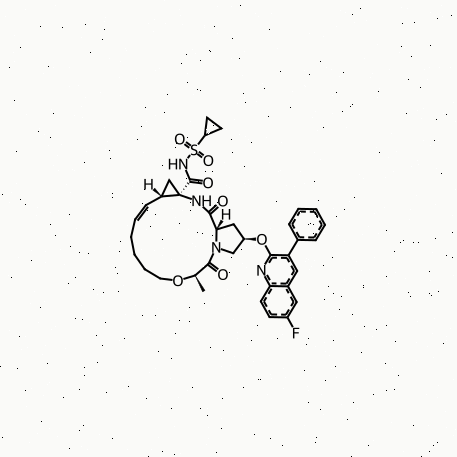 C[C@H]1OCCCC/C=C\[C@@H]2C[C@@]2(C(=O)NS(=O)(=O)C2CC2)NC(=O)[C@@H]2C[C@@H](Oc3nc4ccc(F)cc4cc3-c3ccccc3)CN2C1=O